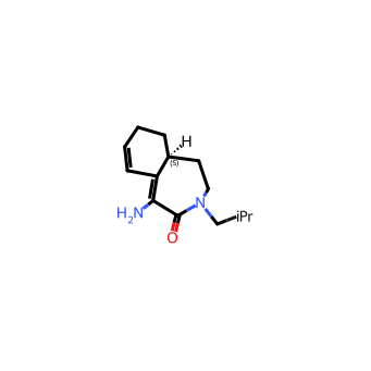 CC(C)CN1CC[C@@H]2CCC=CC2=C(N)C1=O